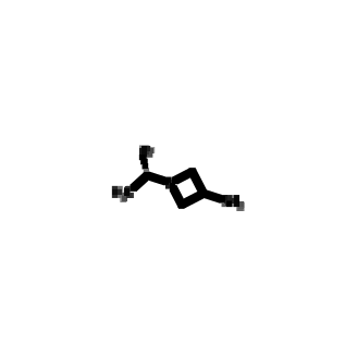 CC(C)[C@@H](C)N1CC(N)C1